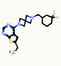 FC(F)(F)Cc1cc2c(N3CC4(CN(CC5CCCC(F)(F)C5)C4)C3)ncnc2s1